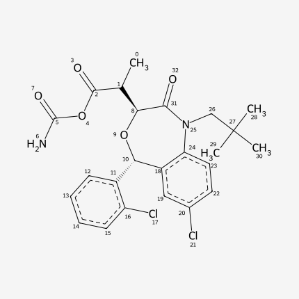 CC(C(=O)OC(N)=O)[C@@H]1O[C@@H](c2ccccc2Cl)c2cc(Cl)ccc2N(CC(C)(C)C)C1=O